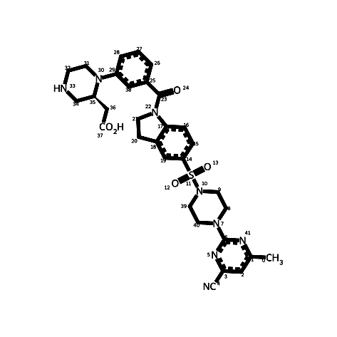 Cc1cc(C#N)nc(N2CCN(S(=O)(=O)c3ccc4c(c3)CCN4C(=O)c3cccc(N4CCNC[C@@H]4CC(=O)O)c3)CC2)n1